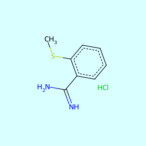 CSc1ccccc1C(=N)N.Cl